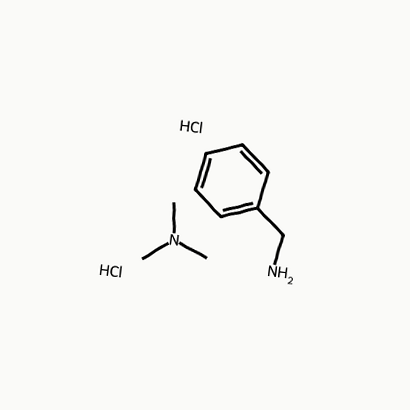 CN(C)C.Cl.Cl.NCc1ccccc1